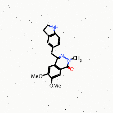 COc1cc2c(Cc3ccc4c(c3)CCN4)nn(C)c(=O)c2cc1OC